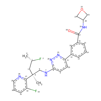 C[C@H](F)C[C@@](C)(CNc1ccc(-c2cccc(C(=O)NC3COC3)c2)nn1)c1ncccc1F